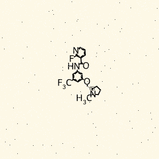 CN1CCC[C@H]1COc1cc(NC(=O)c2cccnc2F)cc(C(F)(F)F)c1